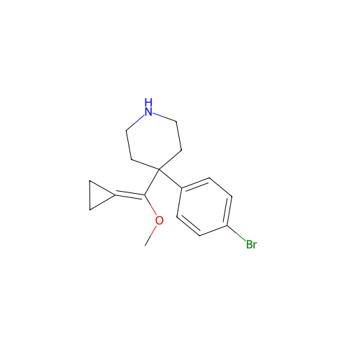 COC(=C1CC1)C1(c2ccc(Br)cc2)CCNCC1